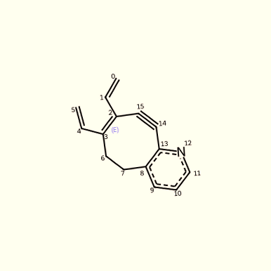 C=C/C1=C(\C=C)CCc2cccnc2C#C1